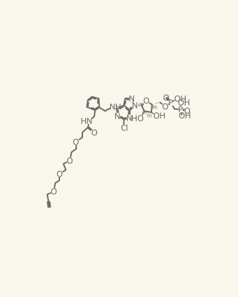 C#CCOCCOCCOCCOCCC(=O)NCc1ccccc1CNc1nc(Cl)nc2c1cnn2[C@@H]1O[C@H](COP(=O)(O)CP(=O)(O)O)[C@@H](O)[C@H]1O